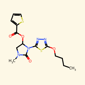 CCCCOc1nnc(N2C(=O)N(C)CC2OC(=O)c2cccs2)s1